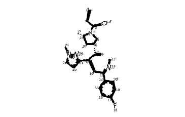 C=CC(=O)N1C[C@H](C(=C)/C(=C\C(=N/C)c2ccc(F)cc2)c2ccn(C)n2)C[C@@H]1C